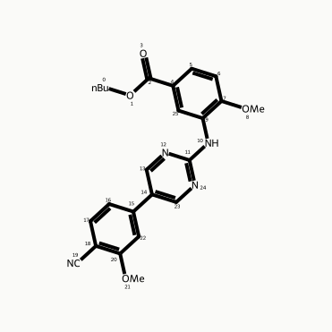 CCCCOC(=O)c1ccc(OC)c(Nc2ncc(-c3ccc(C#N)c(OC)c3)cn2)c1